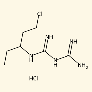 CCC(CCCl)NC(=N)NC(=N)N.Cl